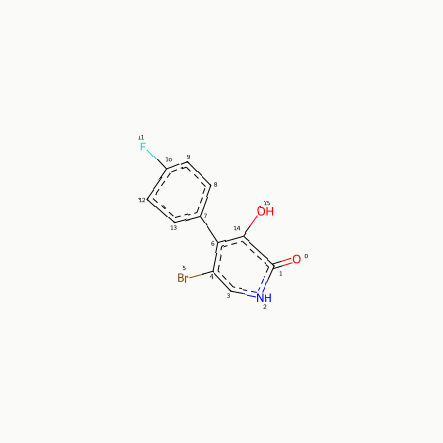 O=c1[nH]cc(Br)c(-c2ccc(F)cc2)c1O